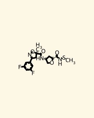 CSNC(=O)[C@H]1C[C@@H](NC(=O)[C@@]2(C)CC(c3cc(F)cc(F)c3)=NO2)CO1